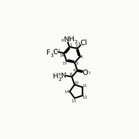 Nc1c(Cl)cc(C(=O)C(N)C2CCCC2)cc1C(F)(F)F